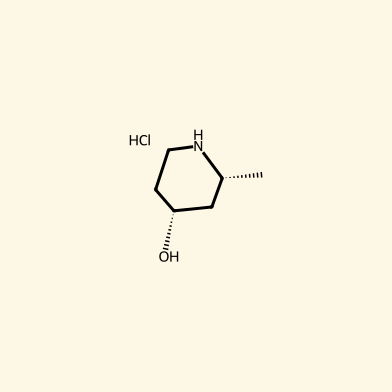 C[C@@H]1C[C@H](O)CCN1.Cl